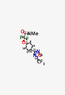 CNC(=O)C(F)(F)Oc1ccc(-c2noc(C(F)(F)F)n2)cc1